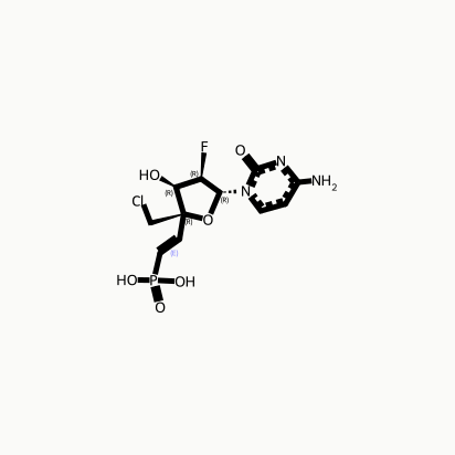 Nc1ccn([C@@H]2O[C@@](/C=C/P(=O)(O)O)(CCl)[C@@H](O)[C@H]2F)c(=O)n1